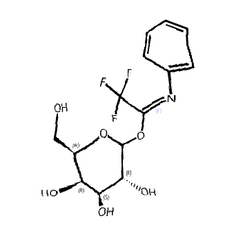 OC[C@H]1OC(O/C(=N/c2ccccc2)C(F)(F)F)[C@H](O)[C@@H](O)[C@H]1O